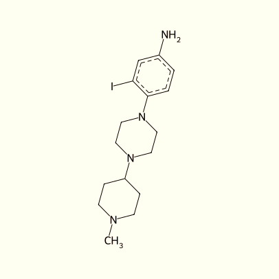 CN1CCC(N2CCN(c3ccc(N)cc3I)CC2)CC1